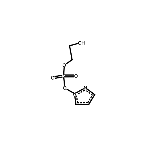 O=S(=O)(OCCO)On1cccn1